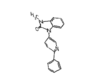 Cn1c(=O)n(-c2ccc(-c3ccccc3)nc2)c2ccccc21